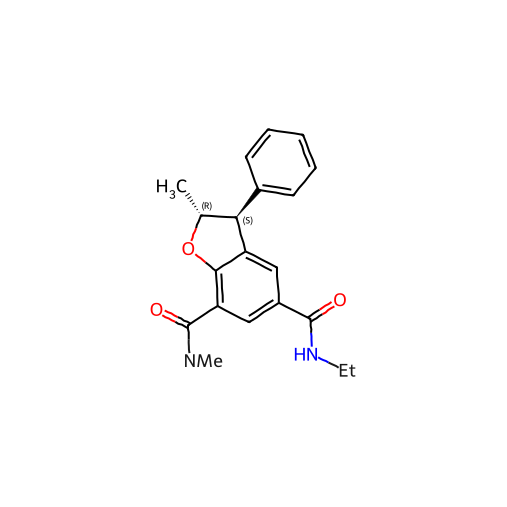 CCNC(=O)c1cc(C(=O)NC)c2c(c1)[C@H](c1ccccc1)[C@@H](C)O2